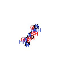 CN1C(C)(C)CC2(CC1(C)C)NC(=O)N(CC(O)CN(CC(O)CN1C(=O)NC3(CC(C)(C)N(C)C(C)(C)C3)C1=O)C1CCCCC1)C2=O